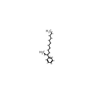 C=CC(CCCCCCCCCC)c1ccccc1